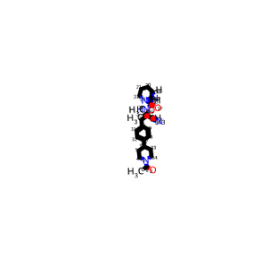 CC(=O)N1CCC(c2ccc(CC(C#N)NC(=O)[C@@H]3[C@H]4CCCN3C(OC(C)(C)C)=N4)cc2)CC1